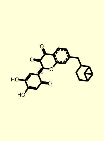 O=C1C=C(O)C(O)=C/C1=C1/Oc2cc(CC3CCC4C5C3C45)ccc2C(=O)C1=O